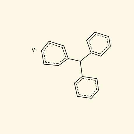 [V].c1ccc(C(c2ccccc2)c2ccccc2)cc1